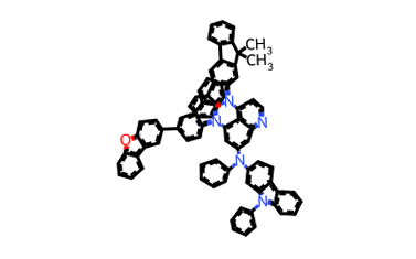 CC1(C)c2ccccc2-c2cc3c4ccccc4n(-c4ccnc5cc(N(c6ccccc6)c6ccc7c8ccccc8n(-c8ccccc8)c7c6)cc(-n6c7ccccc7c7cc(-c8ccc9oc%10ccccc%10c9c8)ccc76)c45)c3cc21